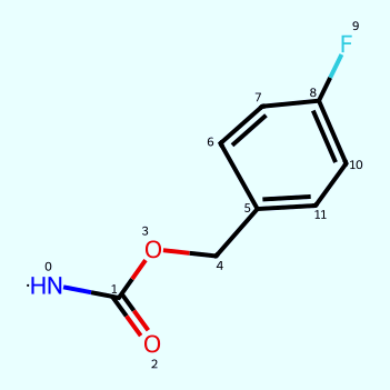 [NH]C(=O)OCc1ccc(F)cc1